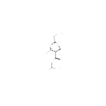 CCc1ncc(C(=O)OC(C)C)c(Cl)n1